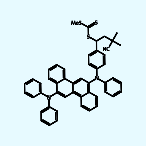 CSC(=S)SC(CC(C)(C)C#N)c1ccc(N(c2ccccc2)c2cc3c4ccccc4c(N(c4ccccc4)c4ccccc4)cc3c3ccccc23)cc1